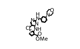 COC(=O)c1ccsc1Nc1nc(Nc2cccc(N3CCOCC3)c2)ncc1Cl